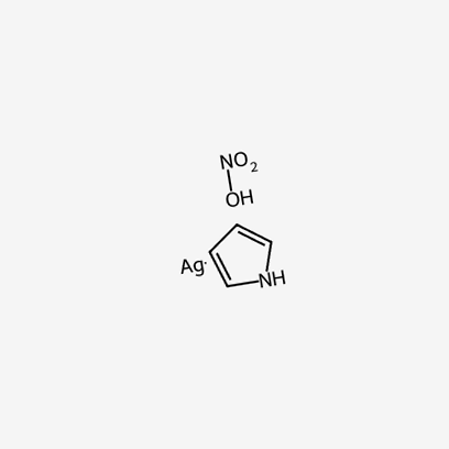 O=[N+]([O-])O.[Ag].c1cc[nH]c1